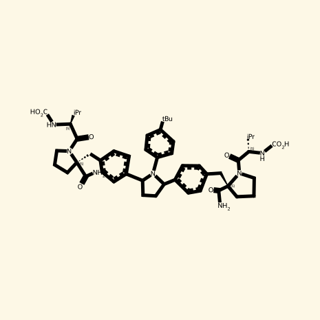 CC(C)[C@H](NC(=O)O)C(=O)N1CCC[C@]1(Cc1ccc(C2CCC(c3ccc(C[C@]4(C(N)=O)CCCN4C(=O)[C@@H](NC(=O)O)C(C)C)cc3)N2c2ccc(C(C)(C)C)cc2)cc1)C(N)=O